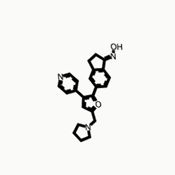 O/N=C1\CCc2cc(-c3oc(CN4CCCC4)cc3-c3ccncc3)ccc21